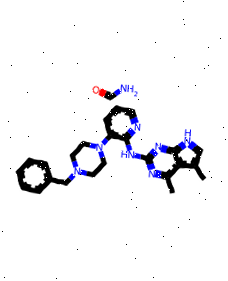 Cc1c[nH]c2nc(Nc3ncccc3N3CCN(Cc4ccccc4)CC3)nc(C)c12.NC=O